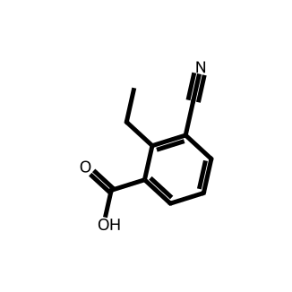 CCc1c(C#N)cccc1C(=O)O